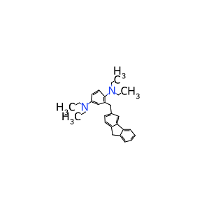 CCN(CC)c1ccc(N(CC)CC)c(Cc2ccc3c(c2)-c2ccccc2C3)c1